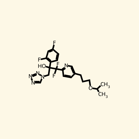 CC(C)OCCCc1ccc(C(F)(F)C(O)(Cn2cnnn2)c2ccc(F)cc2F)nc1